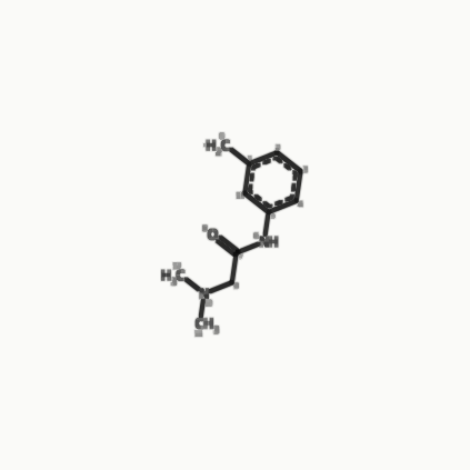 [CH2]c1cccc(NC(=O)CN(C)C)c1